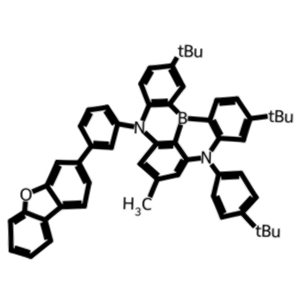 Cc1cc2c3c(c1)N(c1ccc(C(C)(C)C)cc1)c1cc(C(C)(C)C)ccc1B3c1cc(C(C)(C)C)ccc1N2c1cccc(-c2ccc3c(c2)oc2ccccc23)c1